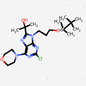 CC(C)(O)c1nc2c(N3CCOCC3)nc(Cl)nc2n1CCCO[Si](C)(C)C(C)(C)C